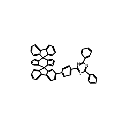 c1ccc(-c2nc(-c3ccccc3)nc(-c3ccc(-c4ccc5c(c4)C4(c6ccccc6-5)c5ccccc5C5(c6ccccc6-c6ccccc65)c5ccccc54)cc3)n2)cc1